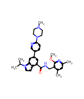 COc1nc(C)cc(C)c1CNC(=O)c1cc(-c2ccc(N3CCN(C)CC3)nc2)cc2c1ccn2C(C)C